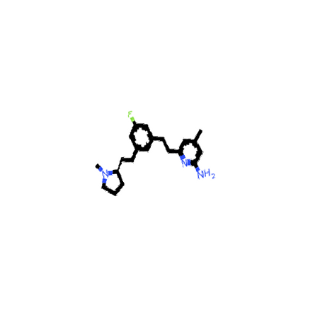 Cc1cc(N)nc(CCc2cc(F)cc(CC[C@H]3CCCN3C)c2)c1